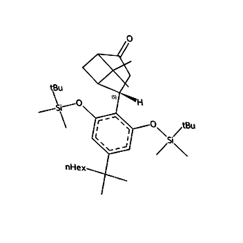 CCCCCCC(C)(C)c1cc(O[Si](C)(C)C(C)(C)C)c([C@H]2CC(=O)C3CC2C3(C)C)c(O[Si](C)(C)C(C)(C)C)c1